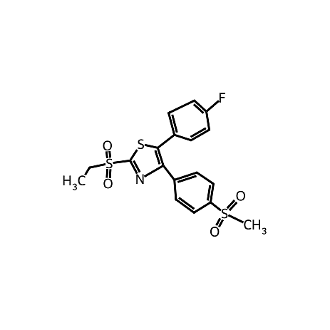 CCS(=O)(=O)c1nc(-c2ccc(S(C)(=O)=O)cc2)c(-c2ccc(F)cc2)s1